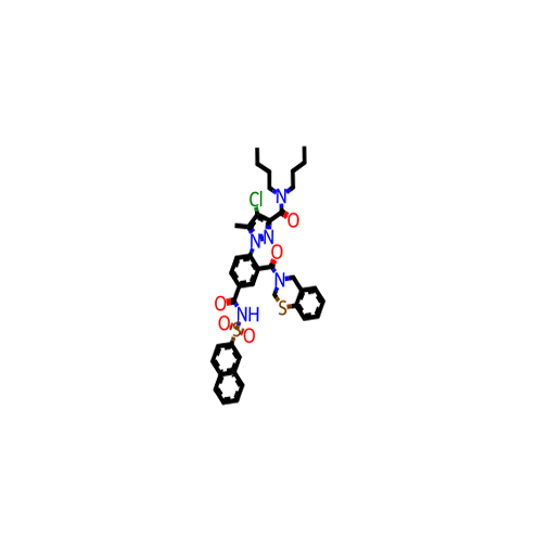 CCCCN(CCCC)C(=O)c1nn(-c2ccc(C(=O)NS(=O)(=O)c3ccc4ccccc4c3)cc2C(=O)N2CSc3ccccc3C2)c(C)c1Cl